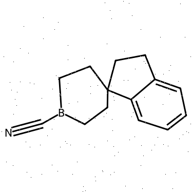 N#CB1CCC2(CC1)CCc1ccccc12